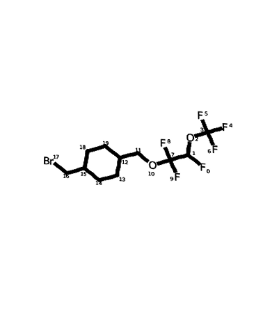 FC(OC(F)(F)F)C(F)(F)OCC1CCC(CBr)CC1